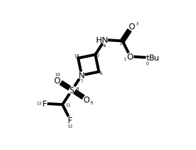 CC(C)(C)OC(=O)NC1CN(S(=O)(=O)C(F)F)C1